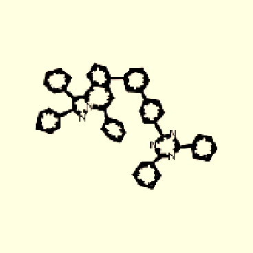 c1ccc(-c2nc(-c3ccccc3)nc(-c3ccc(-c4cccc(-c5cccc6c5cc(-c5ccccc5)n5nc(-c7ccccc7)c(-c7ccccc7)c65)c4)cc3)n2)cc1